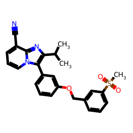 CC(C)c1nc2c(C#N)cccn2c1-c1cccc(OCc2cccc(S(C)(=O)=O)c2)c1